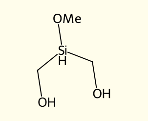 CO[SiH](CO)CO